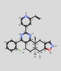 C=Cc1cc(-c2nc(-c3ccccc3F)c3c(n2)[C@]2(C)Cc4cnoc4[C@H](C)[C@H]2CC3)ccn1